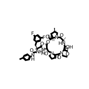 Cc1ccc(NC(=O)N[C@@H](Cc2cc(F)cc(F)c2)C(=O)N[C@@H]2C(=O)N3CCC[C@H]3C(=O)N3CCOC[C@H]3C(O)N[C@@H](C)C(=O)N3C[C@H](C)C[C@H]3C(=O)O[C@H]2C)cc1